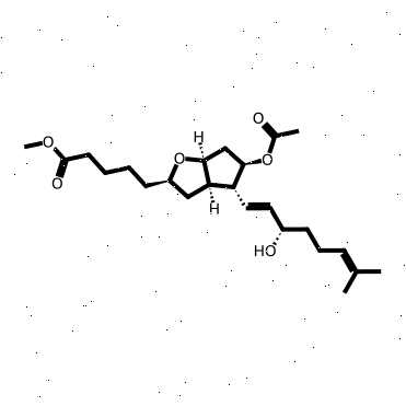 COC(=O)CCCC[C@@H]1C[C@@H]2[C@@H](/C=C/[C@@H](O)CCC=C(C)C)[C@H](OC(C)=O)C[C@@H]2O1